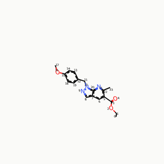 CCOC(=O)c1cc2cnn(Cc3ccc(OC)cc3)c2nc1C